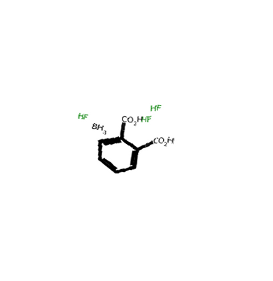 B.F.F.F.O=C(O)c1ccccc1C(=O)O